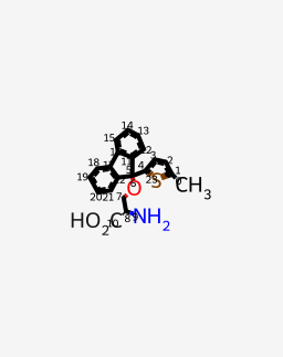 Cc1ccc(C2(OC[C@H](N)C(=O)O)c3ccccc3-c3ccccc32)s1